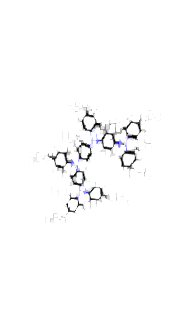 CCCCc1cc(C)c(N(c2ccc(C)cc2)c2ccc(N(c3ccc(N(c4ccc(N(c5ccc(C)cc5)c5c(C)cc(CCCC)cc5C)cc4)c4c(C)cc(CCCC)cc4C)cc3)c3c(C)cc(CCCC)cc3C)cc2)c(C)c1